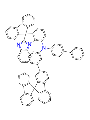 c1ccc(-c2ccc(N(c3cccc(-c4ccc5c(c4)C4(c6ccccc6-c6ccccc64)c4ccccc4-5)c3)c3cccc4c3-n3c(nc5ccccc53)C43c4ccccc4-c4ccccc43)cc2)cc1